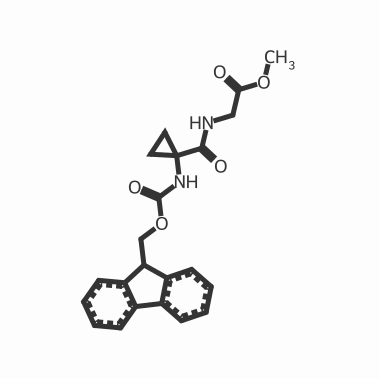 COC(=O)CNC(=O)C1(NC(=O)OCC2c3ccccc3-c3ccccc32)CC1